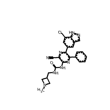 CN1CC(CNC(=O)Nc2nc(-c3ccccc3)c(-c3cc(Cl)c4[nH]ncc4c3)nc2C#N)C1